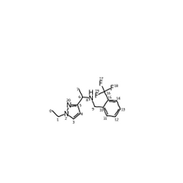 CCn1ccc(C(C)NCc2ccccc2C(F)(F)F)n1